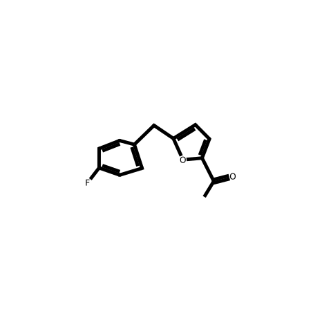 CC(=O)c1ccc(Cc2ccc(F)cc2)o1